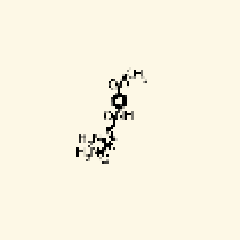 CCOC(=O)c1ccc(NC(=O)CCn2cnc(C(N)=O)c2N)cc1